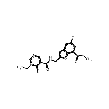 CCn1cncc(C(=O)NCc2cc3cc(Cl)cc(C(=O)OC)c3o2)c1=O